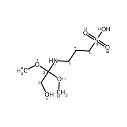 COC(CO)(NCCCS(=O)(=O)O)OC